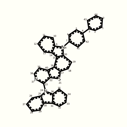 c1ccc(-c2ccc(-n3c4ccccc4c4c5c(ccc43)sc3c(-n4c6ccccc6c6ccccc64)nccc35)cc2)cc1